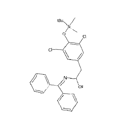 CC(C)(C)[Si](C)(C)Oc1c(Cl)cc(CC(C#N)N=C(c2ccccc2)c2ccccc2)cc1Cl